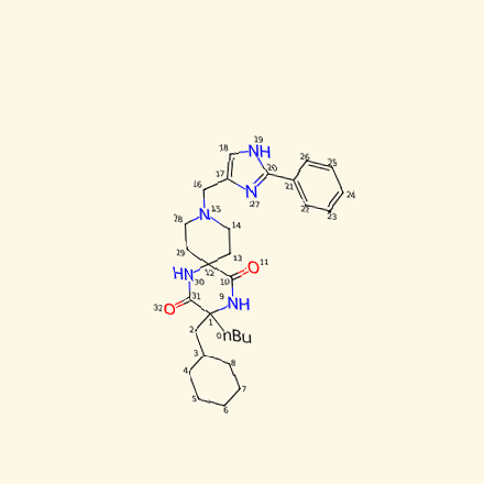 CCCCC1(CC2CCCCC2)NC(=O)C2(CCN(Cc3c[nH]c(-c4ccccc4)n3)CC2)NC1=O